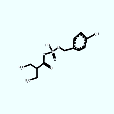 CCC(CC)C(=O)OP(=O)(O)OCc1ccc(O)cc1